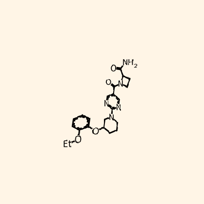 CCOc1ccccc1OC1CCCN(c2ncc(C(=O)N3CCC3C(N)=O)cn2)C1